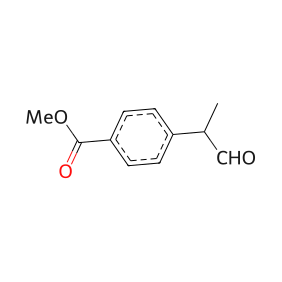 COC(=O)c1ccc(C(C)C=O)cc1